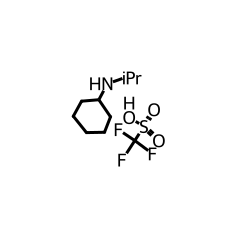 CC(C)NC1CCCCC1.O=S(=O)(O)C(F)(F)F